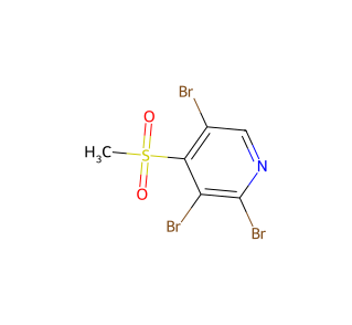 CS(=O)(=O)c1c(Br)cnc(Br)c1Br